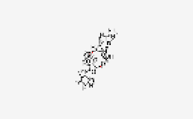 CC(C)(C)[Si](C)(C)OC1[C@H]2OP(O)(=S)OC[C@H]3O[C@@H](n4cnc5c(N)ncnc54)[C@H](F)[C@@H]3OP(O)(=S)OC[C@H]1O[C@H]2n1cnc2c(=O)[nH]c3nccn3c21